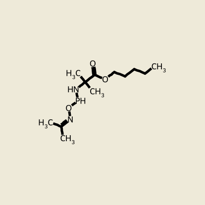 CCCCCOC(=O)C(C)(C)NPON=C(C)C